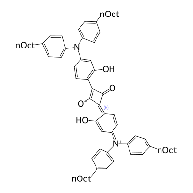 CCCCCCCCc1ccc(N(c2ccc(CCCCCCCC)cc2)c2ccc(C3=C([O-])/C(=C4/C=CC(=[N+](c5ccc(CCCCCCCC)cc5)c5ccc(CCCCCCCC)cc5)C=C4O)C3=O)c(O)c2)cc1